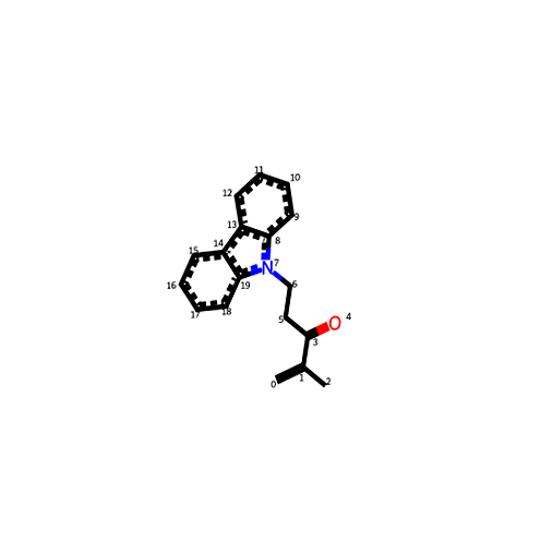 C=C(C)C(=O)CCn1c2ccccc2c2ccccc21